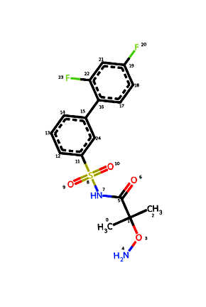 CC(C)(ON)C(=O)NS(=O)(=O)c1cccc(-c2ccc(F)cc2F)c1